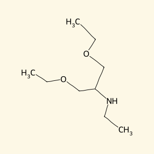 CCNC(COCC)COCC